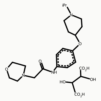 CC(C)N1CCC(Oc2ccc(NC(=O)CN3CCOCC3)cc2)CC1.O=C(O)C(O)C(O)C(=O)O